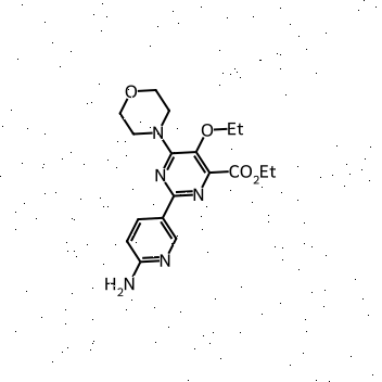 CCOC(=O)c1nc(-c2ccc(N)nc2)nc(N2CCOCC2)c1OCC